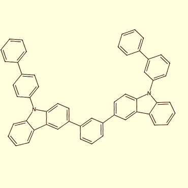 c1ccc(-c2ccc(-n3c4ccccc4c4cc(-c5cccc(-c6ccc7c(c6)c6ccccc6n7-c6cccc(-c7ccccc7)c6)c5)ccc43)cc2)cc1